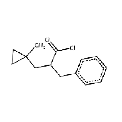 CC1(CC(Cc2ccccc2)C(=O)Cl)CC1